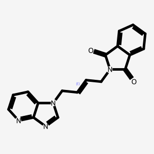 O=C1c2ccccc2C(=O)N1C/C=C/Cn1cnc2ncccc21